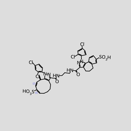 C=C1/C=C\C(S(=O)(=O)O)=C/CCCCc2c(C(=O)NCCCNC(=O)c3nn(-c4ccc(Cl)cc4Cl)c4c3CCCc3cc(S(=O)(=O)O)ccc3-4)nn(-c3ccc(Cl)cc3Cl)c21